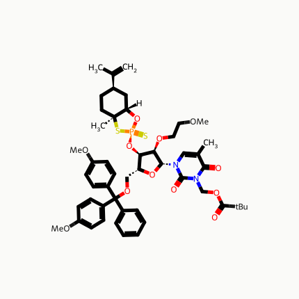 C=C(C)[C@@H]1CC[C@]2(C)S[P@](=S)(O[C@H]3[C@@H](OCCOC)[C@H](n4cc(C)c(=O)n(COC(=O)C(C)(C)C)c4=O)O[C@@H]3COC(c3ccccc3)(c3ccc(OC)cc3)c3ccc(OC)cc3)O[C@H]2C1